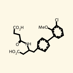 COc1c(Cl)cccc1-c1ccc(CC(CC(=O)O)NC(=O)CCC(=O)O)cc1